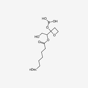 CCCCCCCCCCCCCCCC(=O)OC(CO)C1(OB(O)O)CCO1